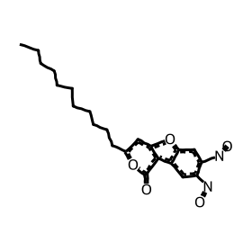 CCCCCCCCCCCc1cc2oc3cc(N=O)c(N=O)cc3c2c(=O)o1